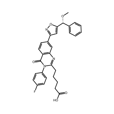 CO[C@H](c1ccccc1)c1cc(-c2ccc3c(=O)n(-c4ccc(F)cc4)c(CCCCC(=O)O)nc3c2)no1